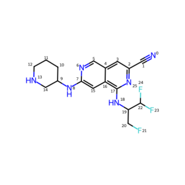 N#Cc1cc2cnc(NC3CCCNC3)cc2c(NC(CF)C(F)F)n1